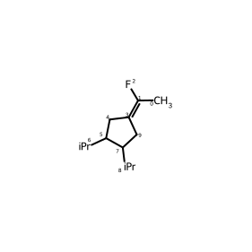 CC(F)=C1CC(C(C)C)C(C(C)C)C1